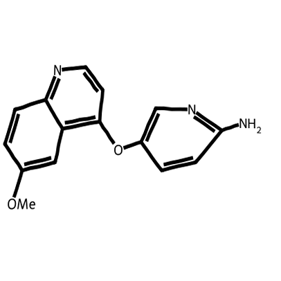 COc1ccc2nccc(Oc3ccc(N)nc3)c2c1